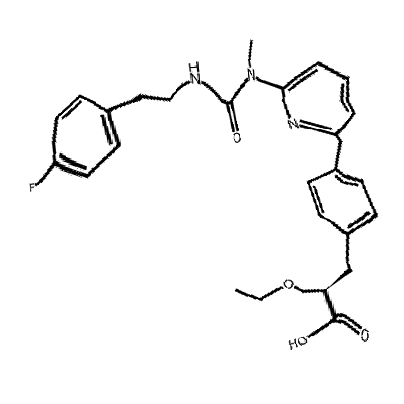 CCO[C@@H](Cc1ccc(-c2cccc(N(C)C(=O)NCCc3ccc(F)cc3)n2)cc1)C(=O)O